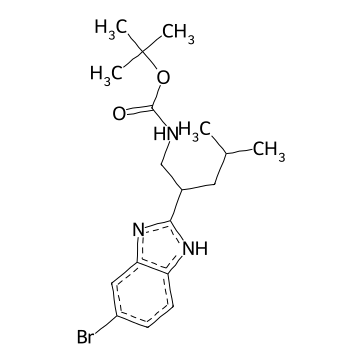 CC(C)CC(CNC(=O)OC(C)(C)C)c1nc2cc(Br)ccc2[nH]1